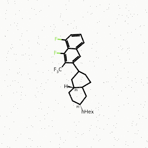 CCCCCC[C@@H]1CC[C@@H]2CC(c3cc4cccc(F)c4c(F)c3C(F)(F)F)CCC2C1